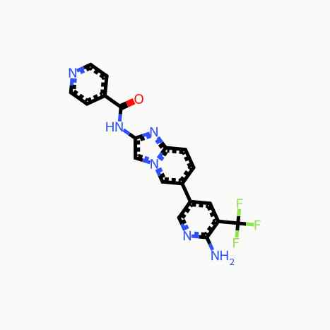 Nc1ncc(-c2ccc3nc(NC(=O)c4ccncc4)cn3c2)cc1C(F)(F)F